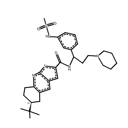 CC(C)(C)[C@H]1CCc2nc3sc(C(=O)NC(CCN4CCCCC4)c4cccc(NS(C)(=O)=O)c4)cc3cc2C1